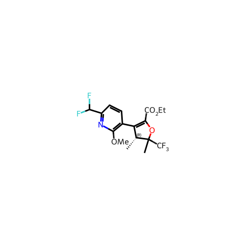 CCOC(=O)C1=C(c2ccc(C(F)F)nc2OC)[C@@H](C)C(C)(C(F)(F)F)O1